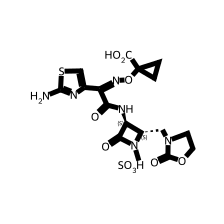 Nc1nc(C(=NOC2(C(=O)O)CC2)C(=O)N[C@@H]2C(=O)N(S(=O)(=O)O)[C@H]2CN2CCOC2=O)cs1